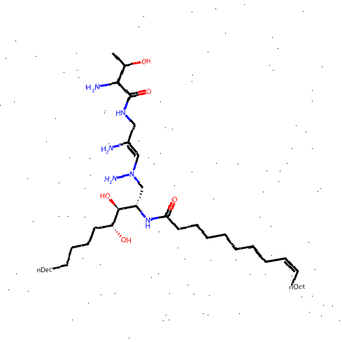 CCCCCCCC/C=C\CCCCCCCC(=O)N[C@@H](CN(N)/C=C(\N)CNC(=O)C(N)C(C)O)[C@H](O)[C@H](O)CCCCCCCCCCCCCC